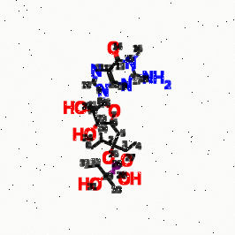 CCC(CC)(CC1O[C@@H](n2cnc3c(=O)n(C)c(N)nc32)[C@H](O)[C@@H]1O)OP(=O)(O)C(C)(O)CC